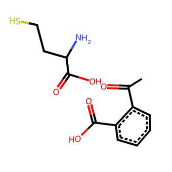 CC(=O)c1ccccc1C(=O)O.NC(CCS)C(=O)O